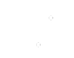 CC1COC(C)OC1